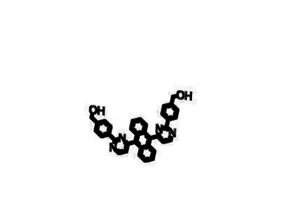 OCc1ccc(-c2nccc(-c3c4ccccc4c(-c4ccnc(-c5ccc(CO)cc5)n4)c4ccccc34)n2)cc1